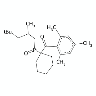 Cc1cc(C)c(C(=O)C2([P](=O)CC(C)CC(C)(C)C)CCCCC2)c(C)c1